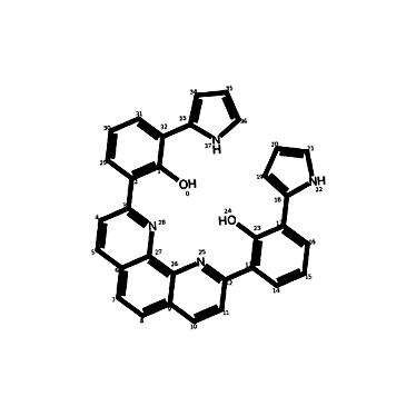 Oc1c(-c2ccc3ccc4ccc(-c5cccc(-c6ccc[nH]6)c5O)nc4c3n2)cccc1-c1ccc[nH]1